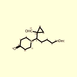 CCCCCCCCCCCCCC(N1CCC(=O)CC1)C1(C=O)CC1